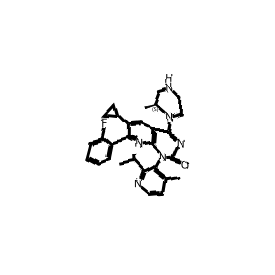 Cc1ccnc(C(C)C)c1-n1c(=O)nc(N2CCNC[C@@H]2C)c2cc(C3CC3)c(-c3ccccc3F)nc21